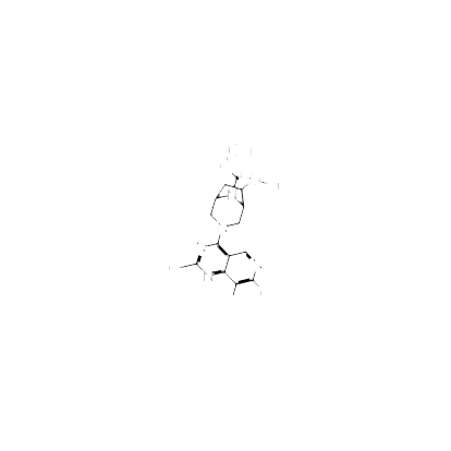 CCOC1CC2CN(c3nc(Cl)nc4c(F)c(Cl)ncc34)CC1N2C(=O)OC(C)(C)C